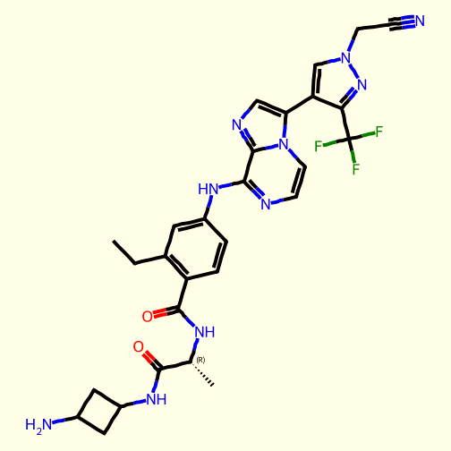 CCc1cc(Nc2nccn3c(-c4cn(CC#N)nc4C(F)(F)F)cnc23)ccc1C(=O)N[C@H](C)C(=O)NC1CC(N)C1